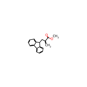 C=C(CC1c2ccccc2-c2ccccc21)C(=O)OC